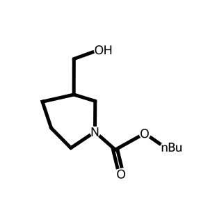 CCCCOC(=O)N1CCCC(CO)C1